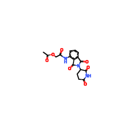 CC(=O)OCC(=O)Nc1cccc2c1C(=O)N(C1CCC(=O)NC1=O)C2=O